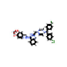 Clc1ccc(C(c2ccc(Cl)cc2)N2CCN(Cc3nc(NCc4ccc5c(c4)OCO5)c4ccccc4n3)CC2)cc1